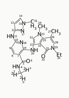 [2H]C([2H])([2H])NC(=O)c1ccc(Nc2ccn(C)n2)nc1Nc1cn(C)c2c(C)cn(CC)c(=O)c12